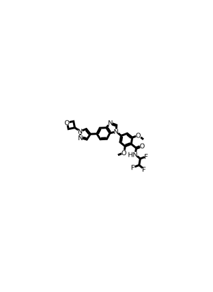 COc1cc(-n2cnc3cc(-c4cnn(C5COC5)c4)ccc32)cc(OC)c1C(=O)NC(F)C(F)F